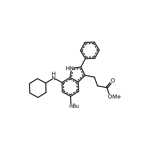 CCCCc1cc(NC2CCCCC2)c2[nH]c(-c3ccccc3)c(CCC(=O)OC)c2c1